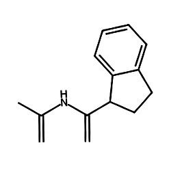 C=C(C)NC(=C)C1CCc2ccccc21